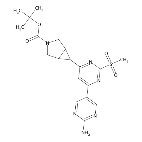 CC(C)(C)OC(=O)N1CC2C(C1)C2c1cc(-c2cnc(N)nc2)nc(S(C)(=O)=O)n1